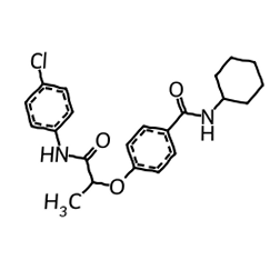 CC(Oc1ccc(C(=O)NC2CCCCC2)cc1)C(=O)Nc1ccc(Cl)cc1